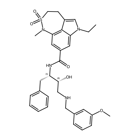 CCn1cc2c3c(cc(C(=O)N[C@@H](Cc4ccccc4)[C@H](O)CNCc4cccc(OC)c4)cc31)N(C)S(=O)(=O)CC2